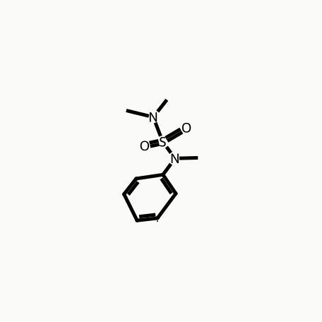 CN(C)S(=O)(=O)N(C)c1c[c]ccc1